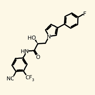 N#Cc1ccc(NC(=O)[C@@H](O)Cn2ccc(-c3ccc(F)cc3)c2)cc1C(F)(F)F